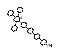 N#Cc1ccc(-c2ccc(-c3ccc(-c4ccc(-c5nc(-c6ccccc6)c(-c6ccccc6)nc5-c5ccccc5)cc4)cc3)cc2)cc1